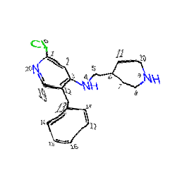 Clc1cc(NCC2CCNCC2)c(-c2ccccc2)cn1